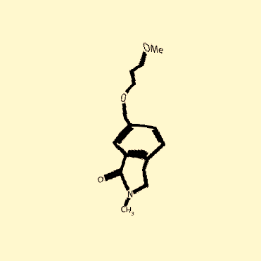 COCCOc1ccc2c(c1)C(=O)N(C)C2